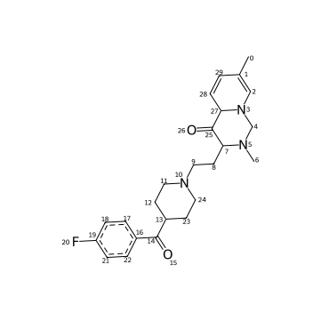 CC1=CN2CN(C)C(CCN3CCC(C(=O)c4ccc(F)cc4)CC3)C(=O)C2C=C1